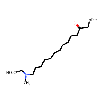 CCCCCCCCCCCC(=O)CCCCCCCCCCCN(C)CC(=O)O